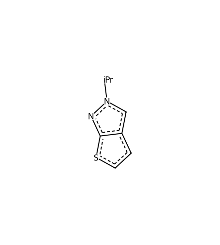 CC(C)n1cc2ccsc2n1